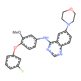 COc1cc(Nc2ncnc3ccc(N4CCOCC4)cc23)ccc1Oc1cccc(F)c1